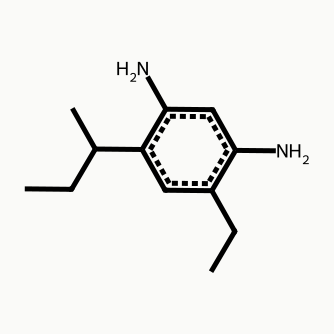 CCc1cc(C(C)CC)c(N)cc1N